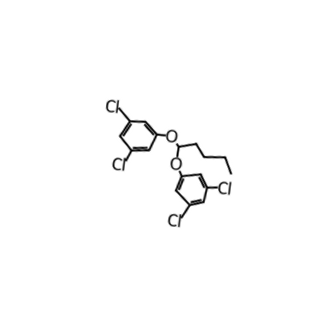 CCCCC(Oc1cc(Cl)cc(Cl)c1)Oc1cc(Cl)cc(Cl)c1